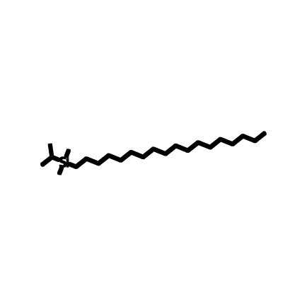 CCCCCCCCCCCCCCCCCC[Si](C)(C)C(C)C